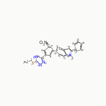 CC(=O)CSc1nnc(-c2cc(-c3ccc4c(c3)cc(-c3ccccc3)n4C)cc([N+](=O)[O-])c2)[nH]1